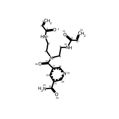 C=CC(=O)NCCN(CCNC(=O)C=C)C(=O)c1cncc(C(N)=O)c1